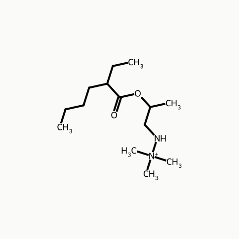 CCCCC(CC)C(=O)OC(C)CN[N+](C)(C)C